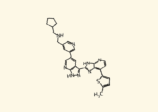 Cc1ccc(-c2ccnc3[nH]c(-c4n[nH]c5ncc(-c6cncc(CNCC7CCCC7)c6)cc45)nc23)s1